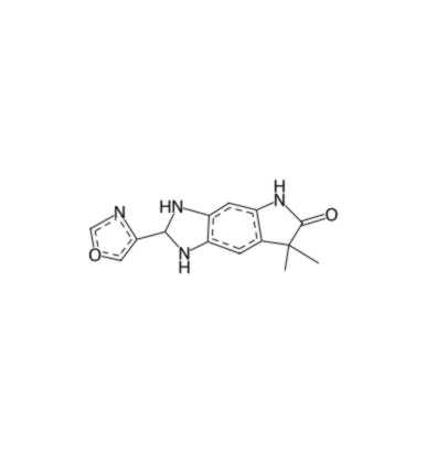 CC1(C)C(=O)Nc2cc3c(cc21)NC(c1cocn1)N3